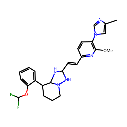 COc1nc(/C=C/C2NC3C(c4ccccc4OC(F)F)CCCN3N2)ccc1-n1cnc(C)c1